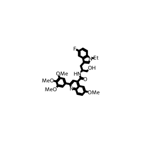 CCn1cc(CC(CO)NC(=O)c2cc(-c3cc(OC)c(OC)c(OC)c3)nc3ccc(OC)cc23)c2cc(F)ccc21